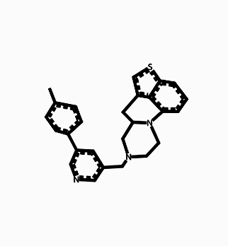 Cc1ccc(-c2cncc(CN3CCN4c5cccc6scc(c56)CC4C3)c2)cc1